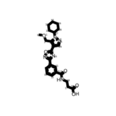 COCc1c(-c2nc(-c3cccc(C(=O)NCCC(=O)O)c3)no2)cnn1C1CCCCC1